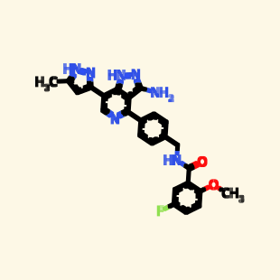 COc1ccc(F)cc1C(=O)NCc1ccc(-c2ncc(-c3cc(C)[nH]n3)c3[nH]nc(N)c23)cc1